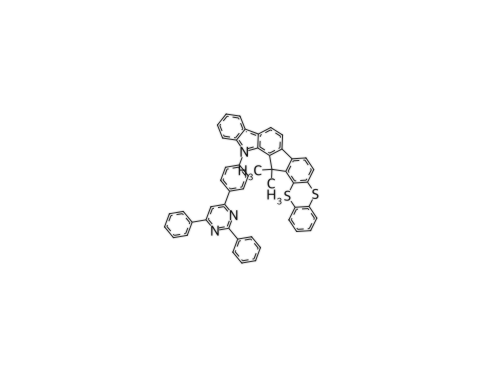 CC1(C)c2c(ccc3c2Sc2ccccc2S3)-c2ccc3c4ccccc4n(-c4ccc(-c5cc(-c6ccccc6)nc(-c6ccccc6)n5)cc4)c3c21